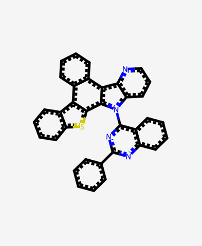 c1ccc(-c2nc(-n3c4cccnc4c4c5ccccc5c5c6ccccc6sc5c43)c3ccccc3n2)cc1